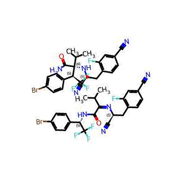 CC(C)C(=N[C@H](C#N)Cc1ccc(C#N)cc1F)C(=O)N[C@@H](c1ccc(Br)cc1)C(F)(F)F.CC(C)[C@](N[C@H](C#N)Cc1ccc(C#N)cc1F)(C(N)=O)[C@H](c1ccc(Br)cc1)C(F)(F)F